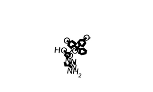 COc1ccc(C(OC[C@H]2O[C@@H](n3ccc4c(N)ncnc43)CC2O)(c2ccccc2)c2ccc(OC)cc2)cc1